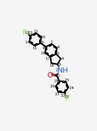 O=C(NC1Cc2ccc(-c3ccc(F)cc3)cc2C1)c1ccc(F)cc1